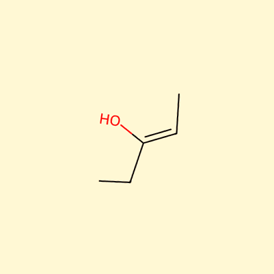 CC=C(O)CC